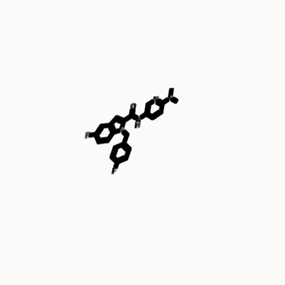 CN(C)c1ccc(NC(=O)c2cc3cc(F)ccc3n2Cc2ccc(F)cc2)cn1